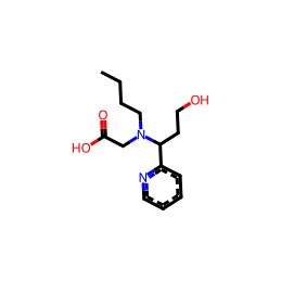 CCCCN(CC(=O)O)C(CCO)c1ccccn1